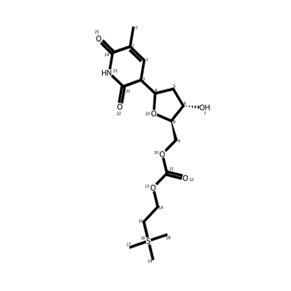 CC1=CC(C2C[C@H](O)[C@@H](COC(=O)OCCS(C)(C)C)O2)C(=O)NC1=O